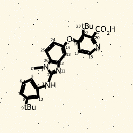 Cn1c(Nc2cccc(C(C)(C)C)c2)nc2cc(Oc3ccnc(C(=O)O)c3C(C)(C)C)ccc21